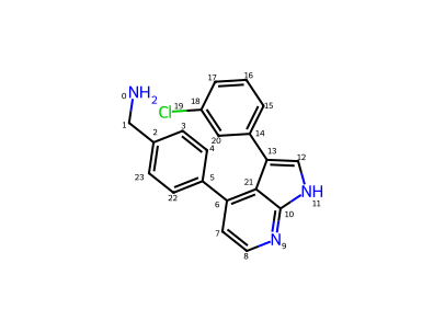 NCc1ccc(-c2ccnc3[nH]cc(-c4cccc(Cl)c4)c23)cc1